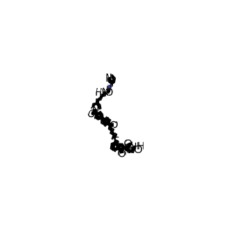 O=C(/C=C/c1cccnc1)NCCCCC1CCN(C(=O)c2ccc(N3CCN(C(=O)CCCCCSc4cccc5c4CN(C4CCC(=O)NC4=O)C5=O)CC3)cc2)CC1